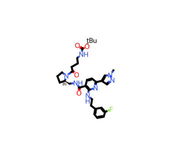 Cn1cc(-c2ccc(C(=O)NC[C@H]3CCCN3C(=O)CCCNC(=O)OC(C)(C)C)c(NCCc3cccc(F)c3)n2)cn1